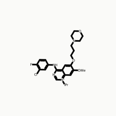 COc1cc2c(cc1OCCCN1CCOCC1)c(Nc1ccc(F)c(Cl)c1)nc[n+]2C(C)C